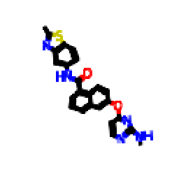 CNc1nccc(Oc2ccc3c(C(=O)Nc4ccc5sc(C)nc5c4)cccc3c2)n1